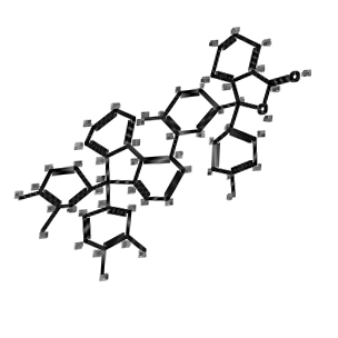 Cc1ccc(C2(c3ccc(C)c(-c4cccc5c4-c4ccccc4C5(c4ccc(C)c(C)c4)c4ccc(C)c(C)c4)c3)OC(=O)c3ccccc32)cc1